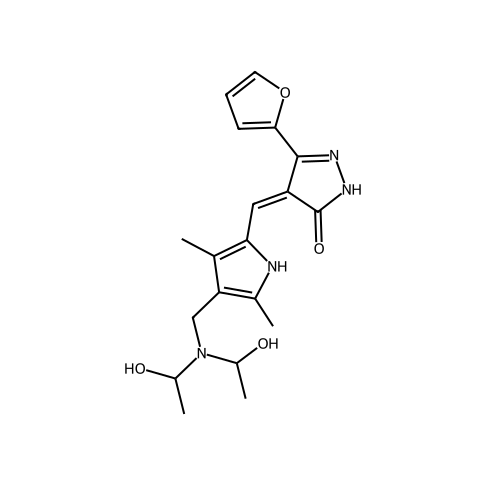 Cc1[nH]c(C=C2C(=O)NN=C2c2ccco2)c(C)c1CN(C(C)O)C(C)O